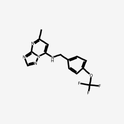 Cc1cc(NCc2ccc(OC(F)(F)F)cc2)n2ncnc2n1